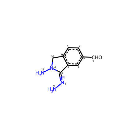 N/N=C1/c2cc(C=O)ccc2CN1N